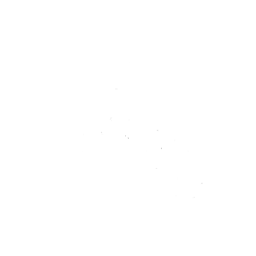 COc1ccc2c(c1)C(CCC=O)CN2S(=O)(=O)c1ccc2c(c1)CCO2